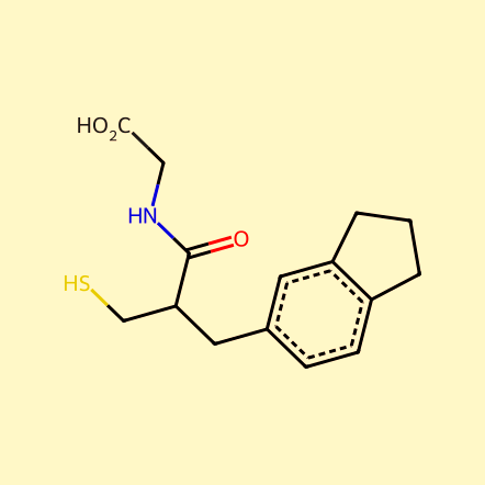 O=C(O)CNC(=O)C(CS)Cc1ccc2c(c1)CCC2